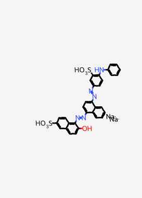 O=S(=O)(O)c1ccc2c(N=Nc3ccc(N=Nc4ccc(Nc5ccccc5)c(S(=O)(=O)O)c4)c4ccccc34)c(O)ccc2c1.[Na].[Na]